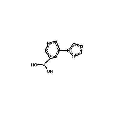 OB(O)c1cncc(-n2cccn2)c1